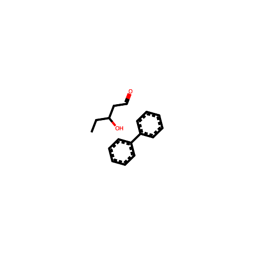 CCC(O)CC=O.c1ccc(-c2ccccc2)cc1